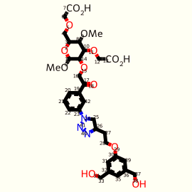 COC1OC(COCC(=O)O)C(OC)C(OCC(=O)O)C1OCC(=O)c1cccc(N2CC(CCOc3cc(CO)cc(CO)c3)N=N2)c1